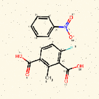 Cc1c(C(=O)O)ccc(F)c1C(=O)O.O=[N+]([O-])c1ccccc1